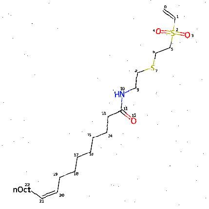 C=CS(=O)(=O)CCSCCNC(=O)CCCCCCC/C=C\CCCCCCCC